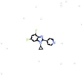 Fc1cc(F)c2nc(-c3ccncc3)n(C3CC3)c2c1